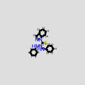 S=C(N(Nc1ccccc1)Nc1ccccc1)n1ncc2ccccc21